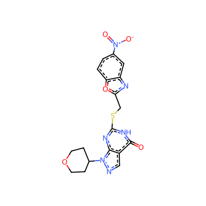 O=c1[nH]c(SCc2nc3cc([N+](=O)[O-])ccc3o2)nc2c1cnn2C1CCOCC1